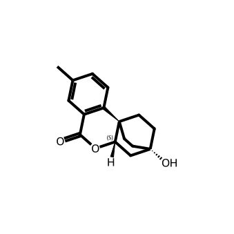 Cc1ccc2c(c1)C(=O)O[C@H]1C[C@]3(O)CC[C@@]21CC3